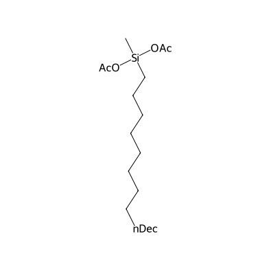 CCCCCCCCCCCCCCCCCC[Si](C)(OC(C)=O)OC(C)=O